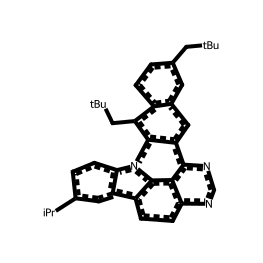 CC(C)c1ccc2c(c1)c1ccc3ncnc4c5cc6cc(CC(C)(C)C)ccc6c(CC(C)(C)C)c5n2c1c34